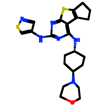 c1nscc1Nc1nc(N[C@H]2CC[C@H](N3CCOCC3)CC2)c2c3c(sc2n1)CCC3